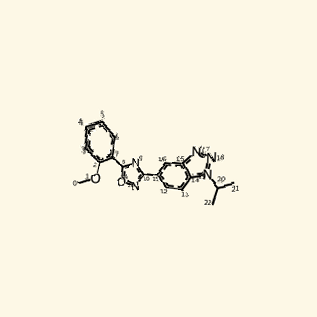 COc1ccccc1-c1nc(-c2ccc3c(c2)nnn3C(C)C)no1